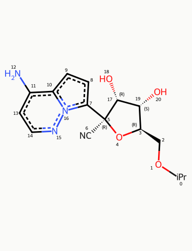 CC(C)OC[C@H]1O[C@@](C#N)(c2ccc3c(N)ccnn23)[C@H](O)[C@@H]1O